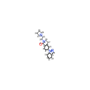 O=C1c2ccc(-n3ncc4ccccc43)cc2CCN1CCN1CCCC1